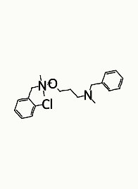 CN(CCCO[N+](C)(C)Cc1ccccc1Cl)Cc1ccccc1